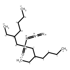 CCCCC(CC)CP(=O)(CC(CC)CCCC)N=[N+]=[N-]